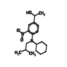 CC(C)CN(c1ccc(C(C)O)cc1[N+](=O)[O-])C1CCCCC1